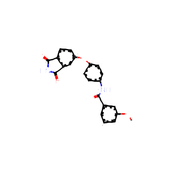 COc1cccc(C(=O)Nc2ccc(Oc3ccc4c(c3)C(=O)NC4=O)cc2)c1